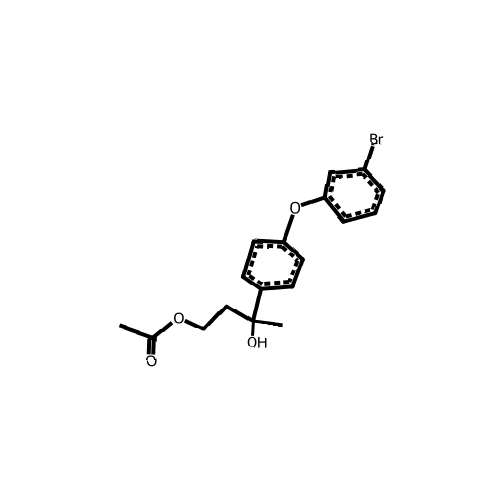 CC(=O)OCCC(C)(O)c1ccc(Oc2cccc(Br)c2)cc1